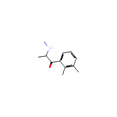 CNC(C)C(=O)c1cccc(C)c1C